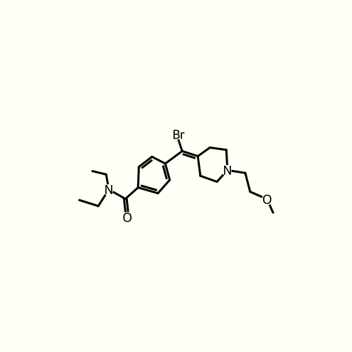 CCN(CC)C(=O)c1ccc(C(Br)=C2CCN(CCOC)CC2)cc1